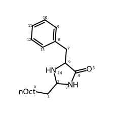 CCCCCCCCCC1NC(=O)C(Cc2ccccc2)N1